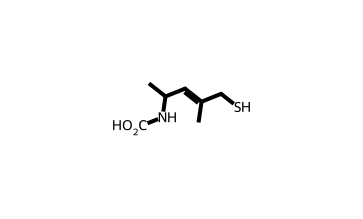 C/C(=C\C(C)NC(=O)O)CS